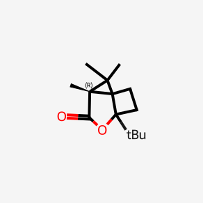 CC(C)(C)C12CCC13C(C)(C)[C@@]3(C)C(=O)O2